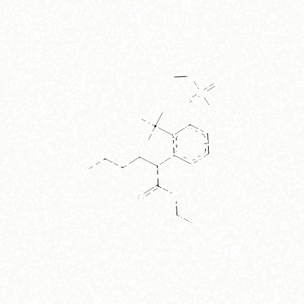 CCOC(=N)C(CCCCl)c1ccccc1C(F)(F)F.COS(=O)(=O)O